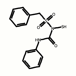 O=C(Nc1ccccc1)N(S)S(=O)(=O)Cc1ccccc1